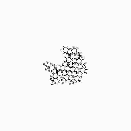 CC(C)(C)c1cc(N2c3cc(-n4c5ccccc5c5ccccc54)ccc3B3c4ccc(-n5c6ccc(C(C)(C)C)cc6c6cc(C(C)(C)C)ccc65)cc4N(c4cc(C(C)(C)C)cc(C(C)(C)C)c4)c4cc(N(c5ccccc5)c5ccccc5)cc2c43)cc(C(C)(C)C)c1